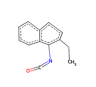 CCc1ccc2ccccc2c1N=C=O